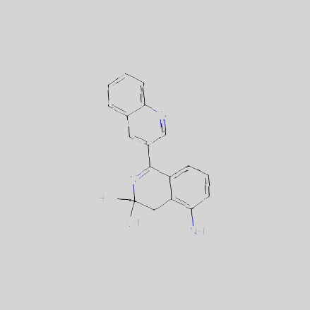 CC1(C)Cc2c(N)cccc2C(c2cnc3ccccc3c2)=N1